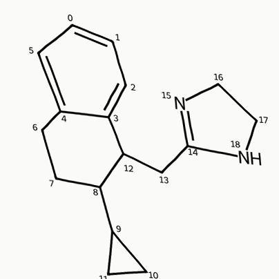 c1ccc2c(c1)CCC(C1CC1)C2CC1=NCCN1